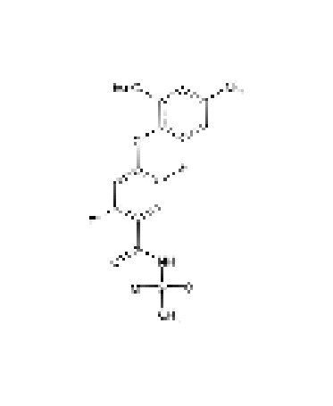 COc1cc(C(F)(F)F)ccc1Oc1cc(F)c(C(=O)NS(C)(=O)=O)cc1F